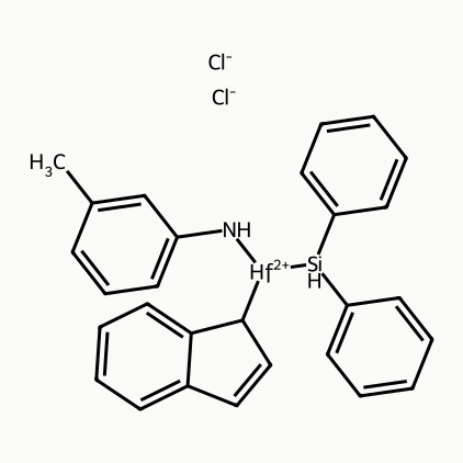 Cc1cccc([NH][Hf+2]([CH]2C=Cc3ccccc32)[SiH](c2ccccc2)c2ccccc2)c1.[Cl-].[Cl-]